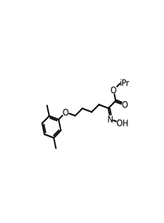 Cc1ccc(C)c(OCCCCC(=NO)C(=O)OC(C)C)c1